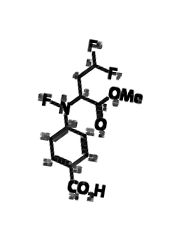 COC(=O)C(CC(F)F)N(F)c1ccc(C(=O)O)cc1